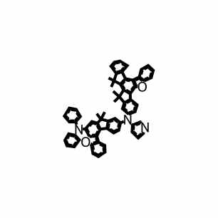 CC1(C)c2cc(N(c3cccnc3)c3ccc4c(c3)C(C)(C)c3c5c(c6c(oc7ccccc76)c3-4)-c3ccccc3C5(C)C)ccc2-c2c1cc(N(c1ccccc1)c1ccccc1)c1oc3ccccc3c21